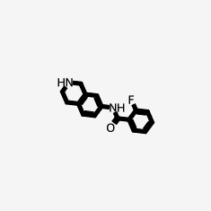 O=C(Nc1ccc2c(c1)CNCC2)c1ccccc1F